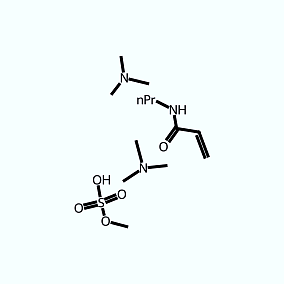 C=CC(=O)NCCC.CN(C)C.CN(C)C.COS(=O)(=O)O